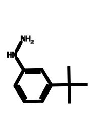 CC(C)(C)c1cccc(NN)c1